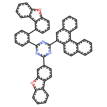 c1ccc(-c2cccc3oc4ccccc4c23)c(-c2nc(-c3ccc4c(c3)oc3ccccc34)nc(-c3cc4ccccc4c4c3ccc3ccccc34)n2)c1